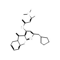 C=C(/C=C(/C)N(C)C)Nc1cc(CC2CCCC2)ncc1C(=C)C1CC=CC=C1F